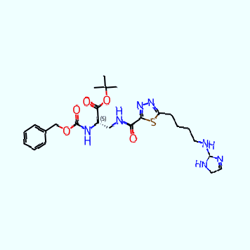 CC(C)(C)OC(=O)[C@H](CNC(=O)c1nnc(CCCCNC2N=CCN2)s1)NC(=O)OCc1ccccc1